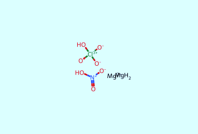 O=[N+]([O-])O.[Mg+2].[MgH2].[O-][Cl+3]([O-])([O-])O